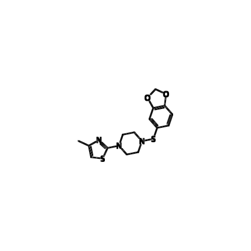 Cc1csc(N2CCN(Sc3ccc4c(c3)OCO4)CC2)n1